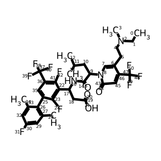 CCN(C)CCc1cn(C(CC(C)C)C(=O)NC(CC(=O)O)c2c(F)c(-c3c(C)cc(F)cc3C)cc(C(F)(F)F)c2F)c(=O)cc1C(F)(F)F